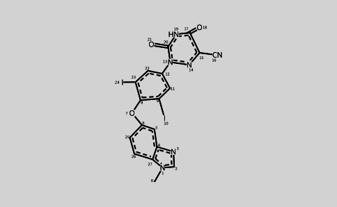 Cn1cnc2cc(Oc3c(I)cc(-n4nc(C#N)c(=O)[nH]c4=O)cc3I)ccc21